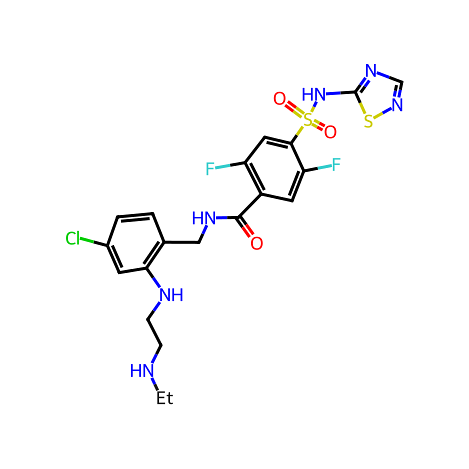 CCNCCNc1cc(Cl)ccc1CNC(=O)c1cc(F)c(S(=O)(=O)Nc2ncns2)cc1F